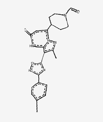 Cc1ccc(-c2noc(-c3c(C)nn4c(C5CCN(C=O)CC5)cc(=O)[nH]c34)n2)cc1